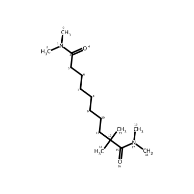 CN(C)C(=O)CCCCCCCC(C)(C)C(=O)N(C)C